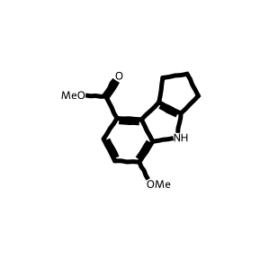 COC(=O)c1ccc(OC)c2[nH]c3c(c12)CCC3